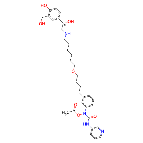 CC(=O)ON(C(=O)Nc1cccnc1)c1cccc(CCCCOCCCCCCNC[C@@H](O)c2ccc(O)c(CO)c2)c1